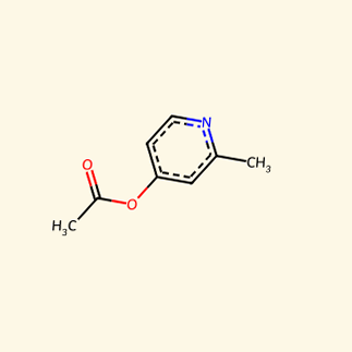 CC(=O)Oc1ccnc(C)c1